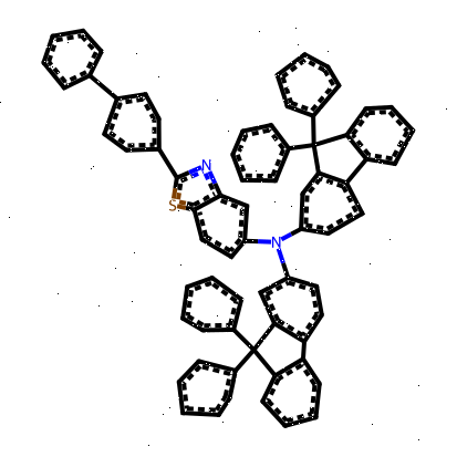 c1ccc(-c2ccc(-c3nc4cc(N(c5ccc6c(c5)C(c5ccccc5)(c5ccccc5)c5ccccc5-6)c5ccc6c(c5)C(c5ccccc5)(c5ccccc5)c5ccccc5-6)ccc4s3)cc2)cc1